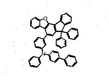 c1ccc(-c2ccc(N(c3ccccc3)c3cccc(-c4cc5c(c6oc7ccccc7c46)-c4ccccc4C5(c4ccccc4)c4ccccc4)c3)cc2)cc1